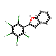 Fc1c(F)c(F)c(-c2cc3ccccc3o2)c(F)c1F